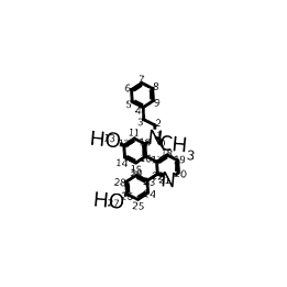 CN(CCc1ccccc1)c1cc(O)ccc1-c1cccnc1-c1ccc(O)cc1